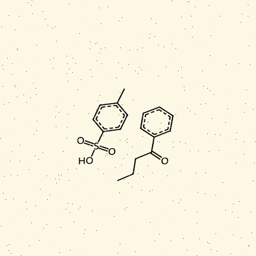 CCCC(=O)c1ccccc1.Cc1ccc(S(=O)(=O)O)cc1